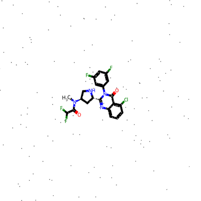 CN(C(=O)C(F)F)[C@H]1CN[C@H](c2nc3cccc(Cl)c3c(=O)n2-c2cc(F)cc(F)c2)C1